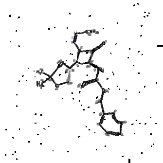 C/C=C\N1C(=O)[C@@H](NC(=O)OCc2ccccc2)[C@H]1[C@@H]1COC(C)(C)O1